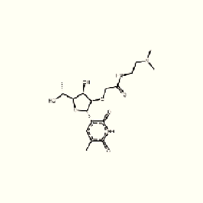 Cc1cn([C@@H]2OC([C@@H](C)O)[C@@H](O)[C@H]2OCC(=O)NCCN(C)C)c(=O)[nH]c1=O